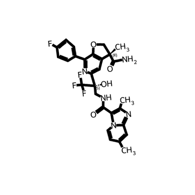 Cc1ccn2c(C(=O)NC[C@](O)(c3cc4c(c(-c5ccc(F)cc5)n3)OC[C@]4(C)C(N)=O)C(F)(F)F)c(C)nc2c1